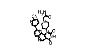 N#Cc1ccc(-c2ccc3ncc4c(=O)[nH]c(=O)n(C5CCN(CC(N)=O)CC5)c4c3n2)cn1